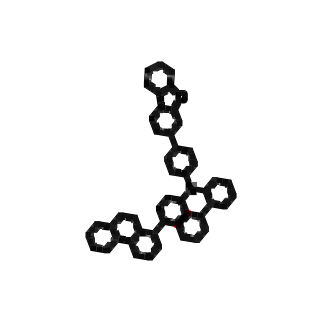 c1ccc(-c2ccccc2N(c2ccc(-c3ccc4c(c3)oc3ccccc34)cc2)c2ccc(-c3cccc4c3ccc3ccccc34)cc2)cc1